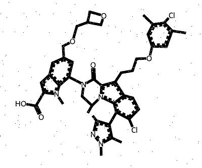 Cc1cc(OCCCc2c3n(c4c(-c5c(C)nn(C)c5C)c(Cl)ccc24)C(C)CN(c2cc(COCC4COC4)cc4cc(C(=O)O)n(C)c24)C3=O)cc(C)c1Cl